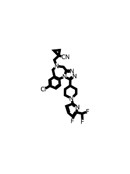 N#CC1(CN2Cc3cc(Cl)ccc3-n3c(nnc3C3CCN(c4ccc(F)c(C(F)F)n4)CC3)C2)CC1